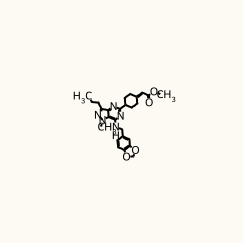 CCCc1nn(C)c2c(NCc3ccc4c(c3)OCO4)nc(C3CCC(=CC(=O)OC)CC3)nc12